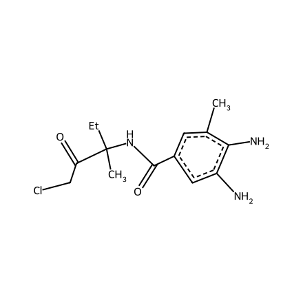 CCC(C)(NC(=O)c1cc(C)c(N)c(N)c1)C(=O)CCl